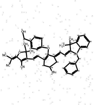 CC1(C)OC(=C(C#N)C#N)C(C#N)=C1/C=C/C1=C(Oc2ccc(CO)cc2)C(=C/C=C2/N(Cc3ccccc3)c3ccccc3C2(C)C)/CC(C(C)(C)C)C1